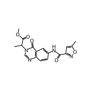 COC(=O)C(C)n1cnc2ccc(NC(=O)c3cc(C)on3)cc2c1=O